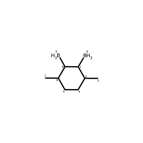 BC1C(C)CCC(C)C1B